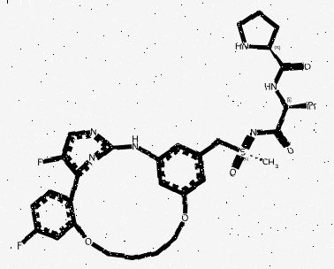 CC(C)[C@H](NC(=O)[C@@H]1CCCN1)C(=O)N=[S@@](C)(=O)Cc1cc2cc(c1)OCCCCOc1cc(F)ccc1-c1nc(ncc1F)N2